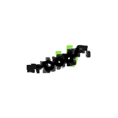 CCCC1CCC(c2ccc(-c3cc(F)c(C=CC(F)(F)F)c(F)c3)c(F)c2)CC1